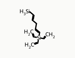 C=C[Si](C=C)(C=C)C=CCC=C[SiH3]